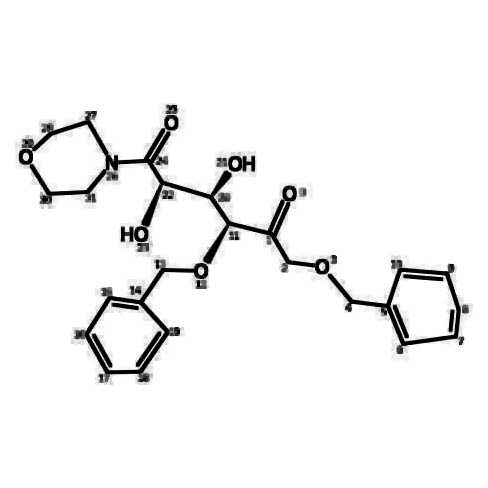 O=C(COCc1ccccc1)[C@@H](OCc1ccccc1)[C@H](O)[C@@H](O)C(=O)N1CCOCC1